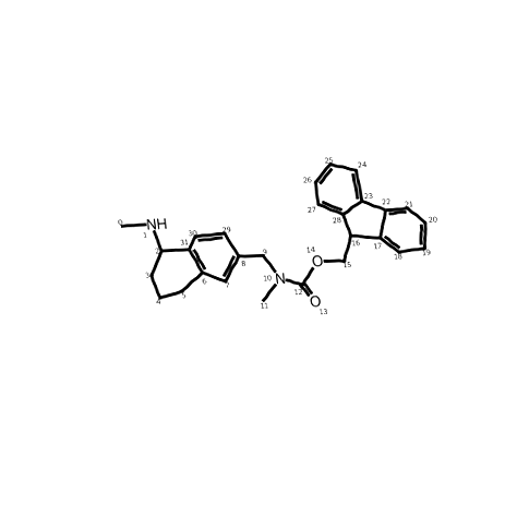 CNC1CCCc2cc(CN(C)C(=O)OCC3c4ccccc4-c4ccccc43)ccc21